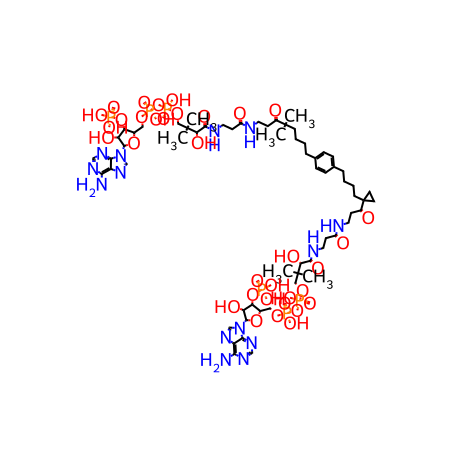 CC(C)(CCCCc1ccc(CCCCC2(C(=O)CCNC(=O)CCNC(=O)C(O)C(C)(C)COP(=O)(O)OP(=O)(O)OCC3OC(n4cnc5c(N)ncnc54)C(O)C3OP(=O)(O)O)CC2)cc1)C(=O)CCNC(=O)CCNC(=O)C(O)C(C)(C)COP(=O)(O)OP(=O)(O)OCC1OC(n2cnc3c(N)ncnc32)C(O)C1OP(=O)(O)O